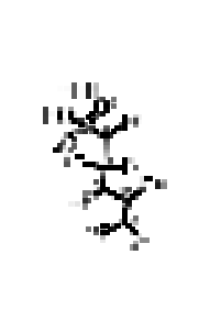 O=S(=O)(O)C(F)C(F)(F)C(F)C(F)C(F)F.[LiH]